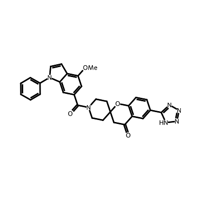 COc1cc(C(=O)N2CCC3(CC2)CC(=O)c2cc(-c4nnn[nH]4)ccc2O3)cc2c1ccn2-c1ccccc1